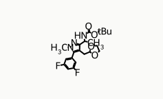 CC(NC(=O)OC(C)(C)C)c1nn(C)c(-c2cc(F)cc(F)c2)c1CC1OCCO1